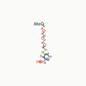 COCCOCCOCCOCCSc1ccnc(CO)c1C